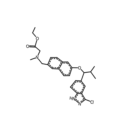 CCOC(=O)CN(C)Cc1ccc2cc(OC(c3ccc4[nH]nc(Cl)c4c3)C(C)C)ccc2c1